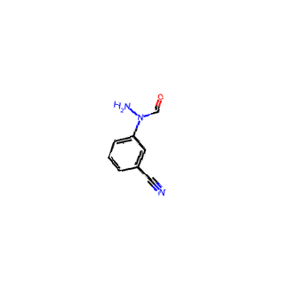 N#Cc1cccc(N(N)C=O)c1